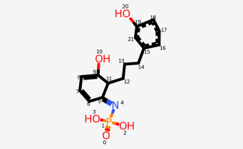 O=P(O)(O)/N=C1\C=CC=C(O)C1CCCc1cccc(O)c1